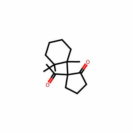 CC(=O)C1(C2(C)CCCCC2(C)C)CCCC1=O